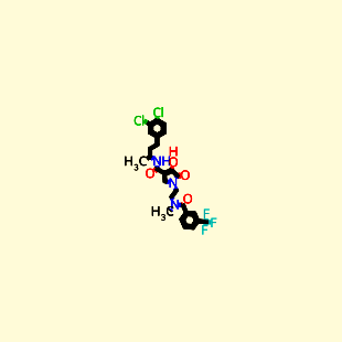 CC(CCc1ccc(Cl)c(Cl)c1)NC(=O)C1=C(O)C(=O)N(CCN(C)C(=O)c2cccc(C(F)(F)F)c2)C1